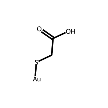 O=C(O)C[S][Au]